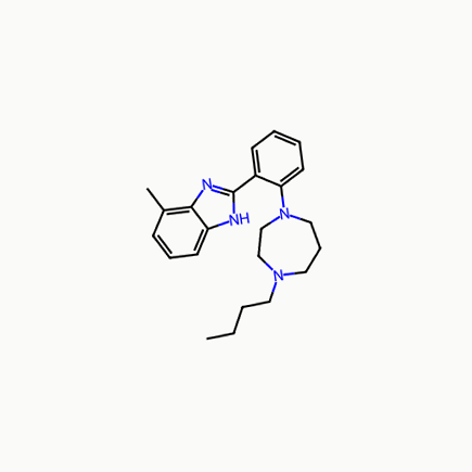 CCCCN1CCCN(c2ccccc2-c2nc3c(C)cccc3[nH]2)CC1